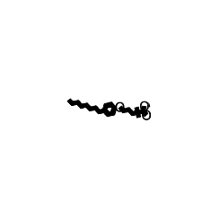 CCCCCCCCc1ccc(OCCCC(C)(C)C(=O)OC)cc1